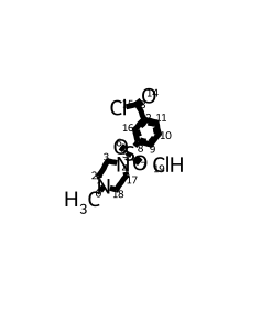 CN1CCN(S(=O)(=O)c2cccc(C(=O)Cl)c2)CC1.Cl